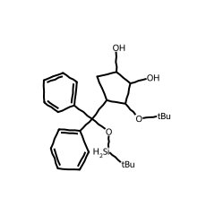 CC(C)(C)OC1C(O)C(O)CC1C(O[SiH2]C(C)(C)C)(c1ccccc1)c1ccccc1